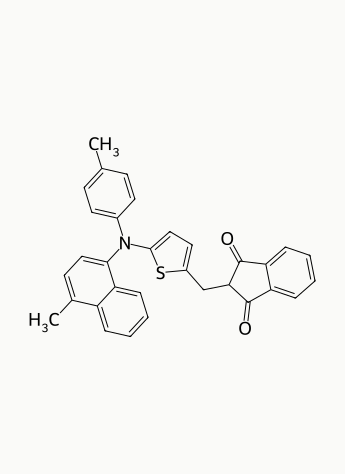 Cc1ccc(N(c2ccc(CC3C(=O)c4ccccc4C3=O)s2)c2ccc(C)c3ccccc23)cc1